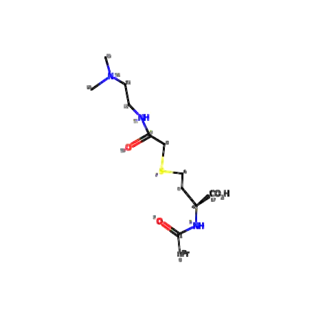 CCCC(=O)N[C@@H](CCSCC(=O)NCCN(C)C)C(=O)O